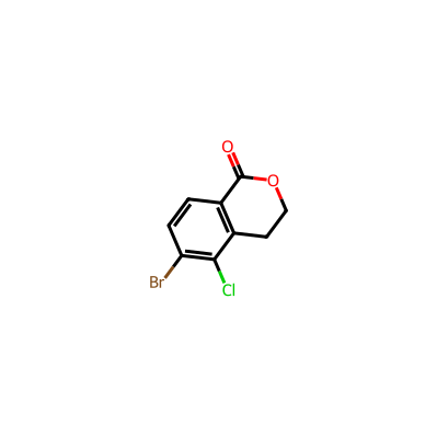 O=C1OCCc2c1ccc(Br)c2Cl